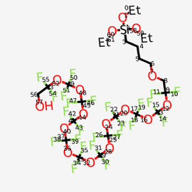 CCO[Si](CCCCOCC(F)(F)OC(F)(F)OC(F)(F)OC(F)(F)OC(F)(F)OC(F)(F)OC(F)(F)OC(F)(F)OC(F)(F)OC(F)(F)OC(F)(F)OC(F)(F)CO)(OCC)OCC